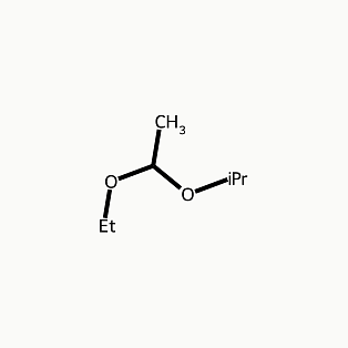 [CH2]COC(C)OC(C)C